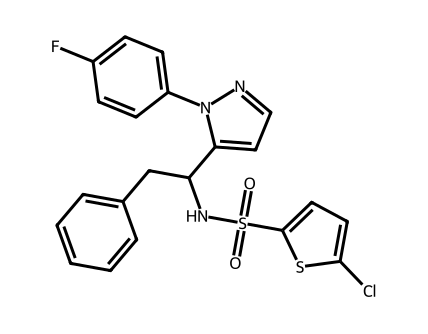 O=S(=O)(NC(Cc1ccccc1)c1ccnn1-c1ccc(F)cc1)c1ccc(Cl)s1